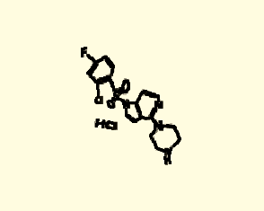 Cl.O=S(=O)(c1ccc(F)cc1Cl)n1ccc2c(N3CCNCC3)nccc21